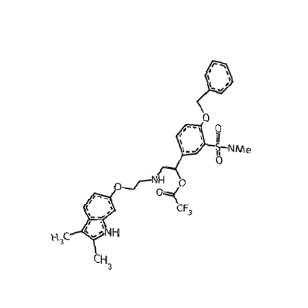 CNS(=O)(=O)c1cc(C(CNCCOc2ccc3c(C)c(C)[nH]c3c2)OC(=O)C(F)(F)F)ccc1OCc1ccccc1